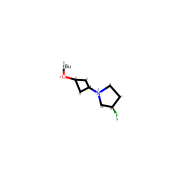 CC(C)(C)OC1CC(N2CC[C@@H](F)C2)C1